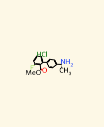 COC(=O)c1c(F)cccc1-c1ccc([C@@H](C)N)cc1.Cl